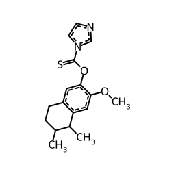 COc1cc2c(cc1OC(=S)n1ccnc1)CCC(C)C2C